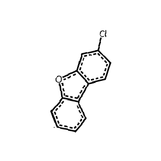 Clc1ccc2c(c1)oc1c[c]ccc12